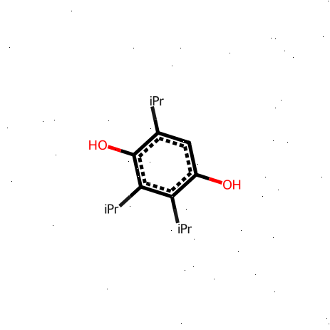 CC(C)c1cc(O)c(C(C)C)c(C(C)C)c1O